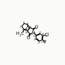 CC12CCC(O1)C1C(=O)N(c3ccc(F)c(Cl)c3)C(=O)C12